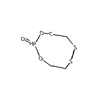 O=[PH]1OCCSSCCO1